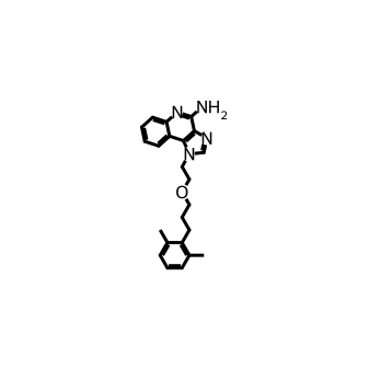 Cc1cccc(C)c1CCCOCCn1cnc2c(N)nc3ccccc3c21